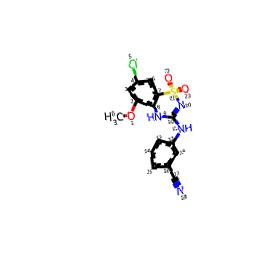 COc1cc(Cl)cc2c1NC(Nc1cccc(C#N)c1)=NS2(=O)=O